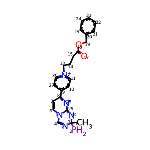 CC1(P)N=CN2C=CC(c3cc[n+](CCCC(=O)OCc4ccccc4)cc3)=NC2=N1